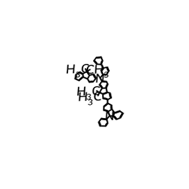 CC1(C)c2cc(-c3ccc4c(c3)c3ccccc3n4-c3ccccc3)ccc2-c2ccc(N(C3=CC4C(C=C3)c3ccccc3C4(C)C)c3cccc(-c4ccccc4)c3)cc21